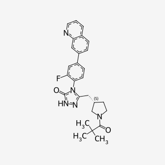 CC(C)(C)C(=O)N1CC[C@@H](Cc2n[nH]c(=O)n2-c2ccc(-c3ccc4cccnc4c3)cc2F)C1